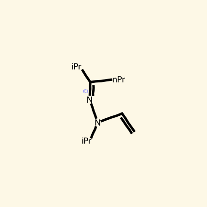 C=CN(/N=C(\CCC)C(C)C)C(C)C